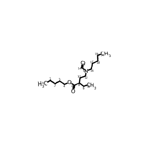 CCCCCOC(=O)C(CC)CCN([C]=O)CCCCC